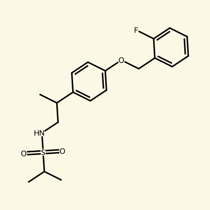 CC(CNS(=O)(=O)C(C)C)c1ccc(OCc2ccccc2F)cc1